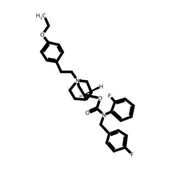 CCOc1ccc(CC[N+]23CCC(CC2)[C@@H](OC(=O)N(Cc2ccc(F)cc2)c2ccccc2F)C3)cc1